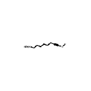 [CH2]COC#CCCCCCCCCCCCCC